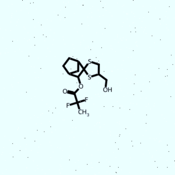 CC(F)(F)C(=O)OC1C2CCC(C2)C12SCC(CO)S2